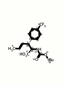 CC=C[C@H](c1ccc(C(F)(F)F)cc1)[C@@H](NC(=O)OC(C)(C)C)C(=O)O